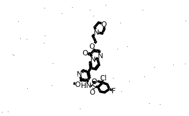 COc1ncc(-c2ccc3ncc(OCCN4CCOCC4)c(=O)n3c2)cc1NS(=O)(=O)C1CCC(F)CC1(C)Cl